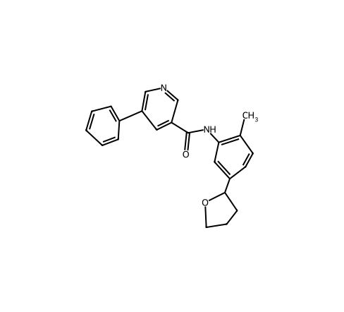 Cc1ccc(C2CCCO2)cc1NC(=O)c1cncc(-c2ccccc2)c1